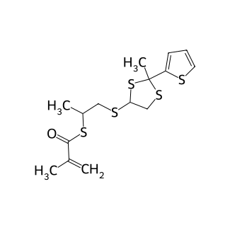 C=C(C)C(=O)SC(C)CSC1CSC(C)(c2cccs2)S1